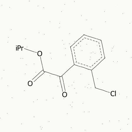 CC(C)OC(=O)C(=O)c1ccccc1CCl